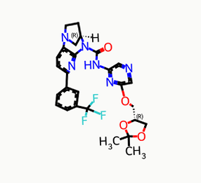 CC1(C)OC[C@@H](COc2cncc(NC(=O)N3c4nc(-c5cccc(C(F)(F)F)c5)ccc4N4CC[C@@H]3C4)n2)O1